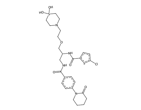 O=C(NCC(COCCN1CCS(O)(O)CC1)NC(=O)c1ccc(Cl)s1)c1ccc(N2CCCCC2=O)cc1